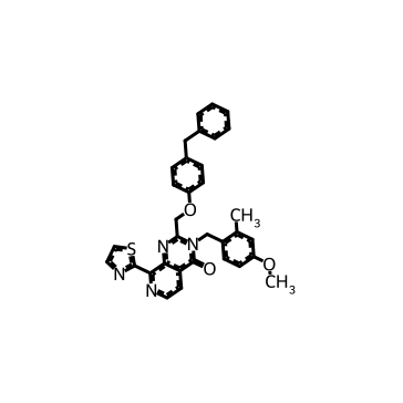 COc1ccc(Cn2c(COc3ccc(Cc4ccccc4)cc3)nc3c(-c4nccs4)nccc3c2=O)c(C)c1